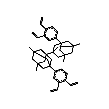 C=Cc1ccc(C23CC4(C)CC(C)(C2)CC(C25CC6(C)CC(C)(CC(c7ccc(C=C)c(C=C)c7)(C6)C2)C5)(C4)C3)cc1C=C